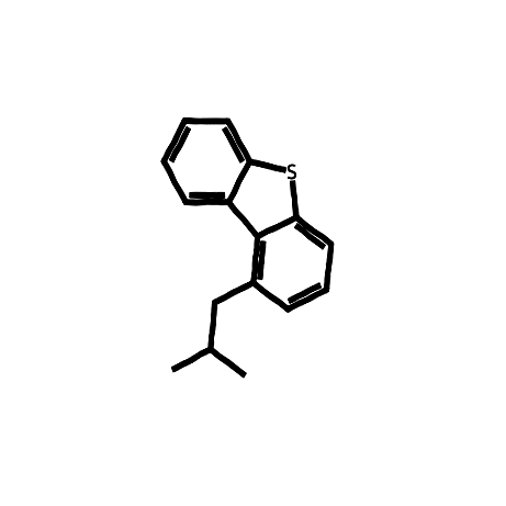 CC(C)Cc1cccc2sc3ccccc3c12